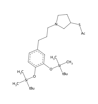 CC(=O)SC1CCN(CCCc2ccc(O[Si](C)(C)C(C)(C)C)c(O[Si](C)(C)C(C)(C)C)c2)C1